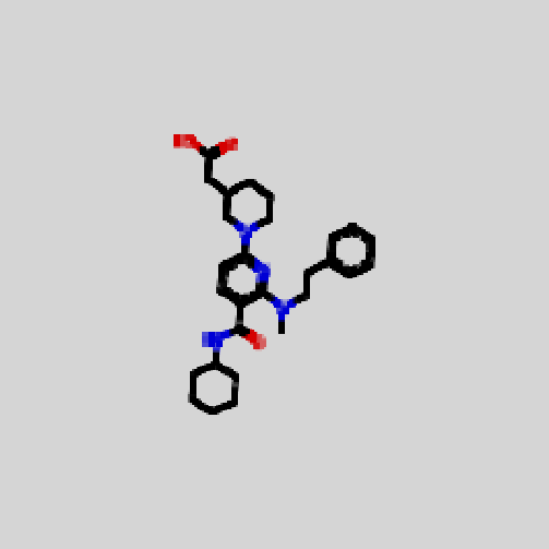 CN(CCc1ccccc1)c1nc(N2CCCC(CC(=O)O)C2)ccc1C(=O)NC1CCCCC1